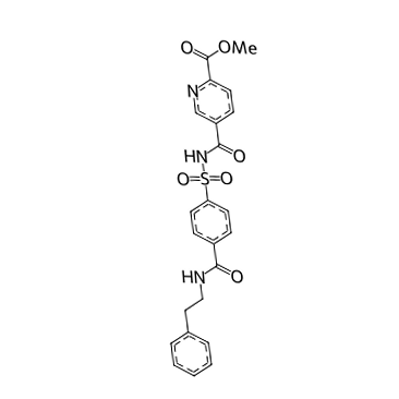 COC(=O)c1ccc(C(=O)NS(=O)(=O)c2ccc(C(=O)NCCc3ccccc3)cc2)cn1